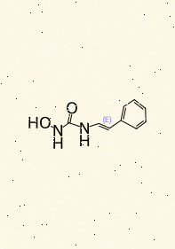 O=C(NO)N/C=C/c1ccccc1